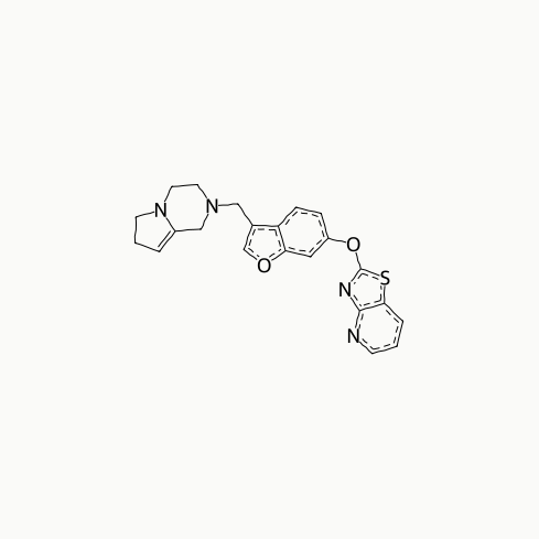 C1=C2CN(Cc3coc4cc(Oc5nc6ncccc6s5)ccc34)CCN2CC1